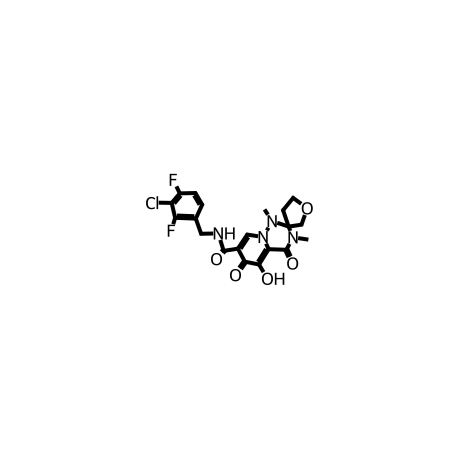 CN1C(=O)c2c(O)c(=O)c(C(=O)NCc3ccc(F)c(Cl)c3F)cn2N(C)C12CCOC2